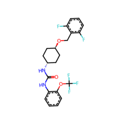 O=C(Nc1ccccc1OC(F)(F)F)N[C@H]1CC[C@H](OCc2c(F)cccc2F)CC1